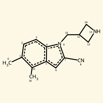 Cc1ccc2c(cc(C#N)n2CC2CNC2)c1C